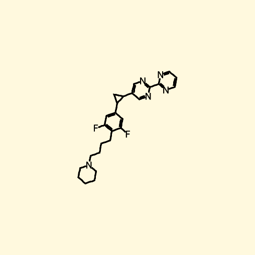 Fc1cc(C2CC2c2cnc(-c3ncccn3)nc2)cc(F)c1CCCCN1CCCCC1